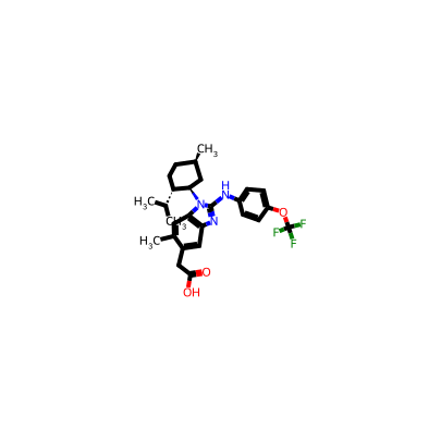 Cc1cc2c(cc1CC(=O)O)nc(Nc1ccc(OC(F)(F)F)cc1)n2[C@@H]1C[C@H](C)CC[C@H]1C(C)C